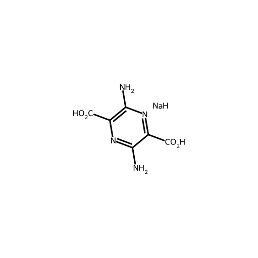 Nc1nc(C(=O)O)c(N)nc1C(=O)O.[NaH]